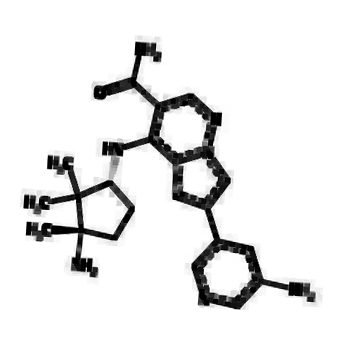 CC1(C)[C@H](Nc2c(C(N)=O)cnn3cc(-c4cncc(N)c4)cc23)CC[C@]1(C)N